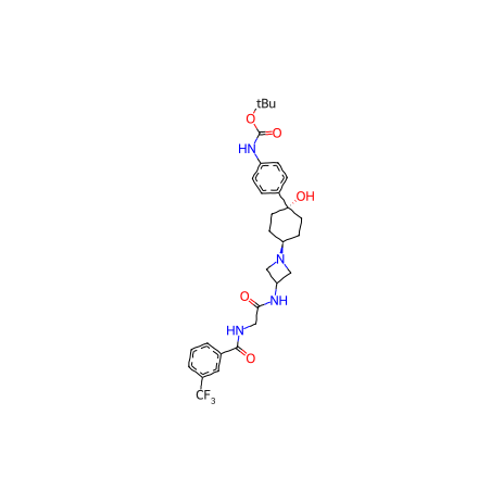 CC(C)(C)OC(=O)Nc1ccc([C@]2(O)CC[C@H](N3CC(NC(=O)CNC(=O)c4cccc(C(F)(F)F)c4)C3)CC2)cc1